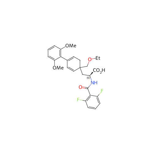 CCOCC1(C[C@H](NC(=O)c2c(F)cccc2F)C(=O)O)C=CC(c2c(OC)cccc2OC)=CC1